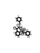 O=C(OCc1ccccc1)C(=O)c1ccccc1NS(=O)(=O)c1ccccc1